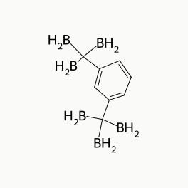 BC(B)(B)c1cccc(C(B)(B)B)c1